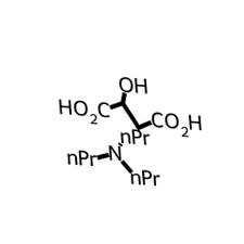 CCCN(CCC)CCC.O=C(O)CC(O)C(=O)O